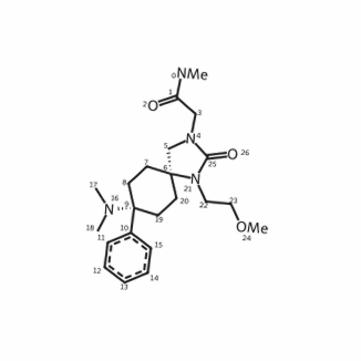 CNC(=O)CN1C[C@]2(CC[C@@](c3ccccc3)(N(C)C)CC2)N(CCOC)C1=O